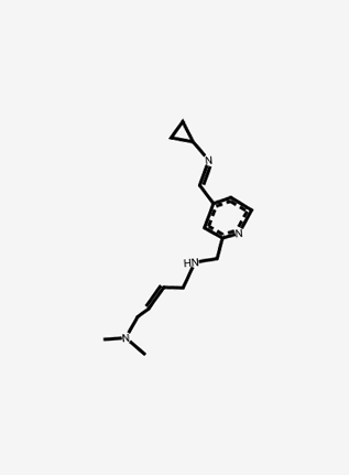 CN(C)C/C=C/CNCc1cc(/C=N/C2CC2)ccn1